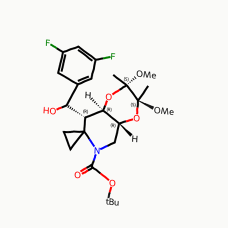 CO[C@@]1(C)O[C@@H]2[C@@H](C(O)c3cc(F)cc(F)c3)C3(CC3)N(C(=O)OC(C)(C)C)C[C@H]2O[C@]1(C)OC